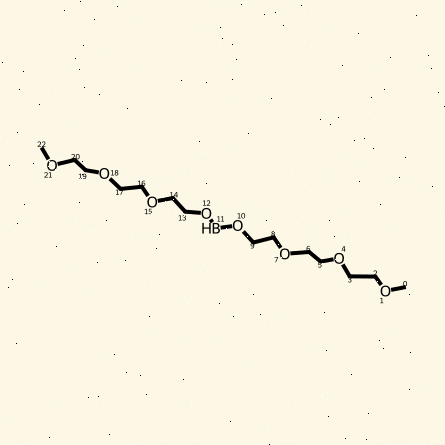 COCCOCCOCCOBOCCOCCOCCOC